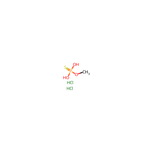 COP(O)(O)=S.Cl.Cl